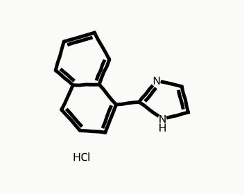 Cl.c1ccc2c(-c3ncc[nH]3)cccc2c1